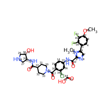 COc1ccc(-c2cnc(C(=O)Nc3ccc(C(=O)N4CCC(C(=O)N[C@H]5CNC[C@@H]5O)CC4)c(Cl)c3)n2C)c(F)c1F.O=CO